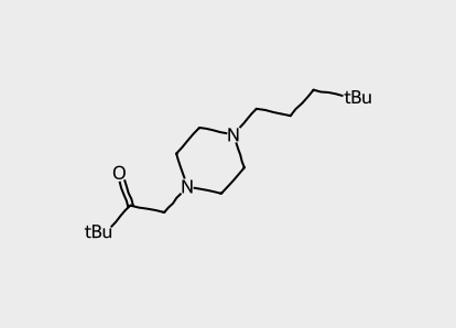 CC(C)(C)CCCN1CCN(CC(=O)C(C)(C)C)CC1